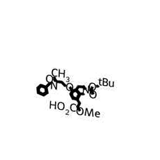 COC(Cc1ccc(OCCc2nc(-c3ccccc3)oc2C)c2c1CN(C(=O)OCC(C)(C)C)CC2)C(=O)O